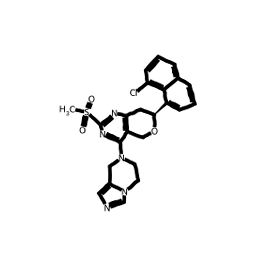 CS(=O)(=O)c1nc2c(c(N3CCn4cncc4C3)n1)CO[C@H](c1cccc3cccc(Cl)c13)C2